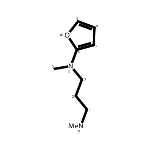 CNCCCN(C)c1ccco1